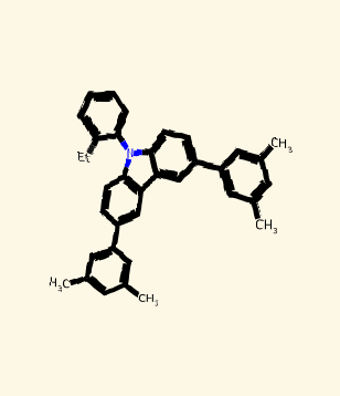 CCc1ccccc1-n1c2ccc(-c3cc(C)cc(C)c3)cc2c2cc(-c3cc(C)cc(C)c3)ccc21